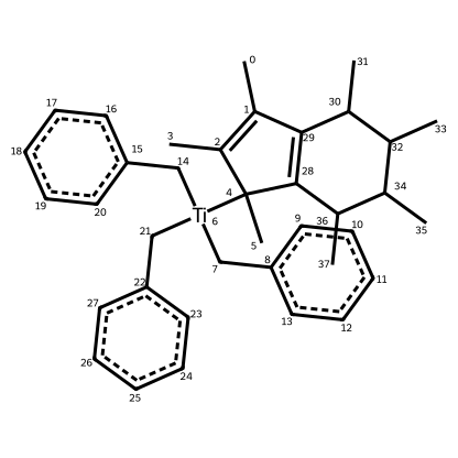 CC1=C(C)[C](C)([Ti]([CH2]c2ccccc2)([CH2]c2ccccc2)[CH2]c2ccccc2)C2=C1C(C)C(C)C(C)C2C